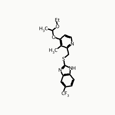 CCOC(C)Oc1ccnc(CSc2nc3cc(C(F)(F)F)ccc3[nH]2)c1C